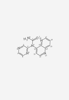 NC(=O)N(c1cnccn1)c1ccnc2cccnc12